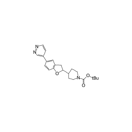 CC(C)(C)OC(=O)N1CCC(C2Cc3cc(-c4ccnnc4)ccc3O2)CC1